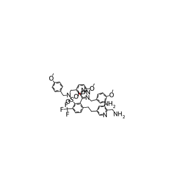 COc1ccc(CN(Cc2ccc(OC)cc2)S(=O)(=O)c2c(C(F)(F)F)ccc(CCc3cnc(CN)c(N)c3)c2-c2nnnn2Cc2ccc(OC)cc2)cc1